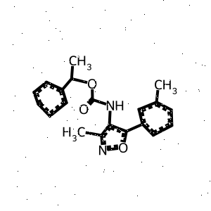 Cc1cccc(-c2onc(C)c2NC(=O)OC(C)c2ccccc2)c1